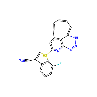 N#CC1=C[SH](c2cc3c4c(n2)N=NNC4=CC=CC=C3)c2c(F)cccc21